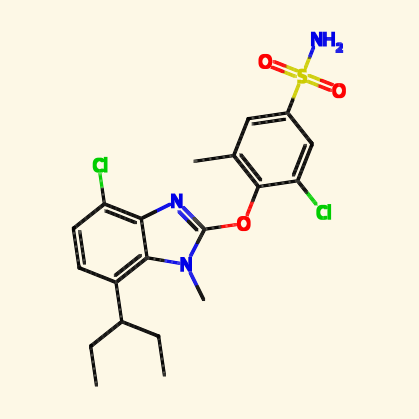 CCC(CC)c1ccc(Cl)c2nc(Oc3c(C)cc(S(N)(=O)=O)cc3Cl)n(C)c12